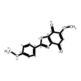 COC1=CC(=O)c2nc(-c3ccc(OC)cc3)sc2C1=O